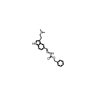 CN(C)CCc1c[nH]c2ccc(C=NNC(=O)OCc3ccccc3)cc12